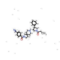 CCC(=O)N1C[C@H](CN2CCC3(CC2)CCN(C(=O)c2ccc(C#N)cc2)C3)[C@@H](c2ccccc2)C1